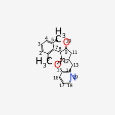 Cc1cccc(C)c1C1C(=O)CC(Cc2ccccn2)C1=O